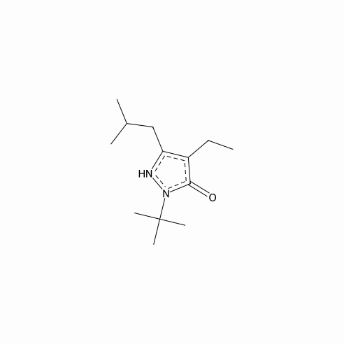 CCc1c(CC(C)C)[nH]n(C(C)(C)C)c1=O